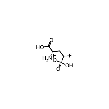 N[C@@H](C[C@H](F)P(=O)(O)O)C(=O)O